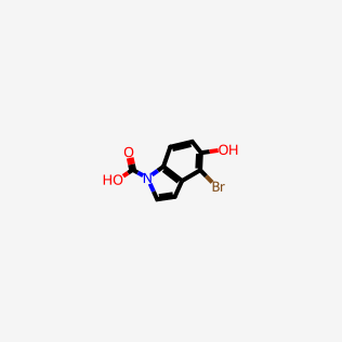 O=C(O)n1ccc2c(Br)c(O)ccc21